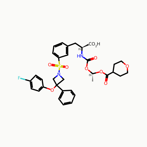 C[C@H](OC(=O)N[C@@H](Cc1cccc(S(=O)(=O)N2CC(Oc3ccc(F)cc3)(c3ccccc3)C2)c1)C(=O)O)OC(=O)C1CCOCC1